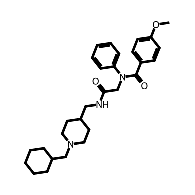 COc1ccc(C(=O)N(CC(=O)NCC2CCN(CC3CCCCC3)CC2)c2ccccc2)cc1